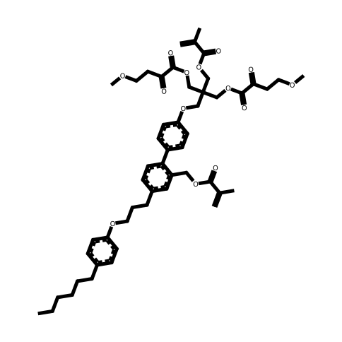 C=C(C)C(=O)OCc1cc(CCCOc2ccc(CCCCCC)cc2)ccc1-c1ccc(OCC(COC(=O)C(=C)C)(COC(=O)C(=O)CCOC)COC(=O)C(=O)CCOC)cc1